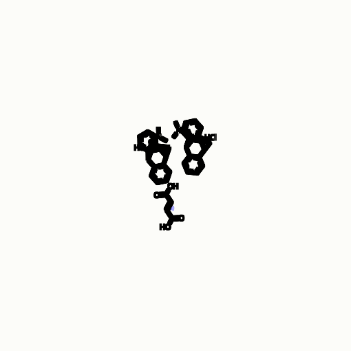 CN(C)CC1(O)C2c3ccccc3C3C(c4ccccc42)C31.CN(C)CC1C2c3ccccc3C3C(c4ccccc42)C13.Cl.O=C(O)/C=C/C(=O)O